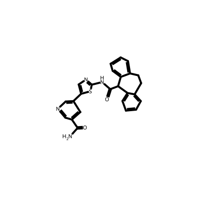 NC(=O)c1cncc(-c2cnc(NC(=O)C3c4ccccc4CCc4ccccc43)s2)c1